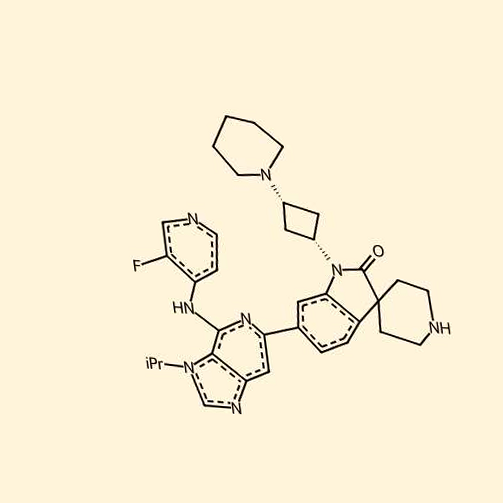 CC(C)n1cnc2cc(-c3ccc4c(c3)N([C@H]3C[C@@H](N5CCCCC5)C3)C(=O)C43CCNCC3)nc(Nc3ccncc3F)c21